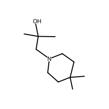 CC(C)(O)CN1CCC(C)(C)CC1